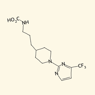 O=C(O)NCCCC1CCN(c2nccc(C(F)(F)F)n2)CC1